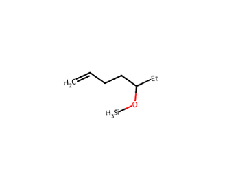 C=CCCC(CC)O[SiH3]